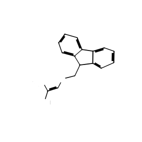 C/C(=C/SCC1c2ccccc2-c2ccccc21)C(=O)O